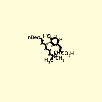 CCCCCCCCCCCCCCCC[N+](C)(C)C.O=C(O)/C=C/c1ccc(O)cc1